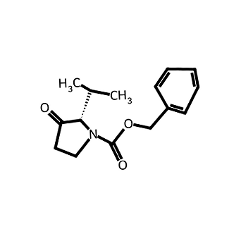 CC(C)[C@H]1C(=O)CCN1C(=O)OCc1ccccc1